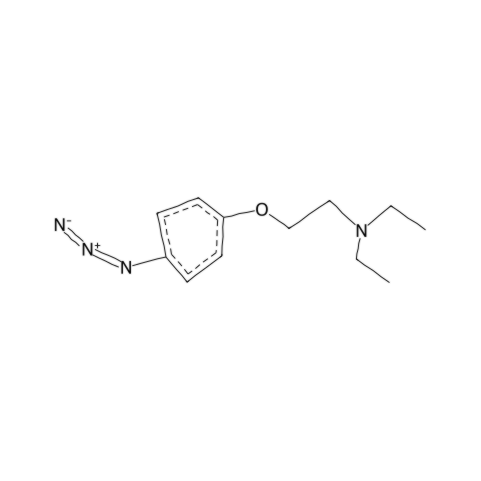 CCN(CC)CCOc1ccc(N=[N+]=[N-])cc1